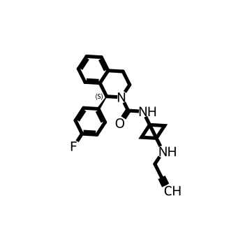 C#CCNC12CC1(NC(=O)N1CCc3ccccc3[C@@H]1c1ccc(F)cc1)C2